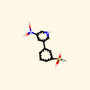 CS(=O)(=O)c1cccc(-c2cncc([N+](=O)[O-])c2)c1